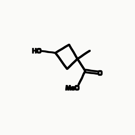 COC(=O)C1(C)CC(O)C1